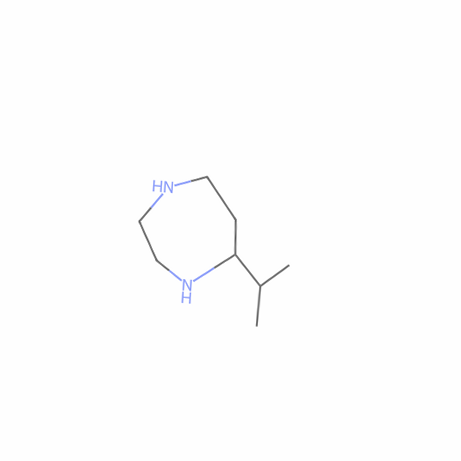 CC(C)C1CCNCCN1